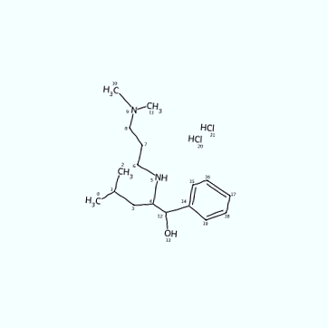 CC(C)CC(NCCCN(C)C)C(O)c1ccccc1.Cl.Cl